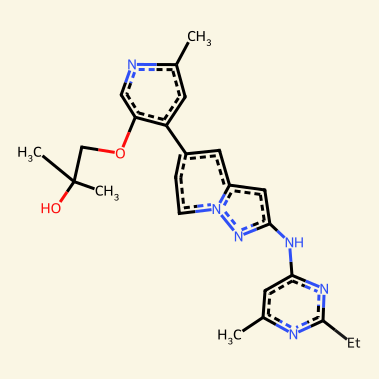 CCc1nc(C)cc(Nc2cc3cc(-c4cc(C)ncc4OCC(C)(C)O)ccn3n2)n1